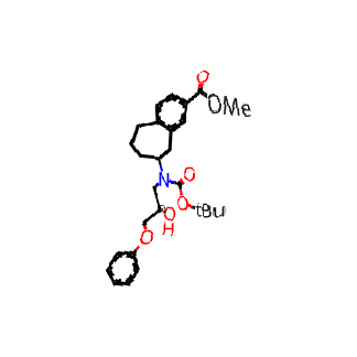 COC(=O)c1ccc2c(c1)CC(N(C[C@H](O)COc1ccccc1)C(=O)OC(C)(C)C)CCC2